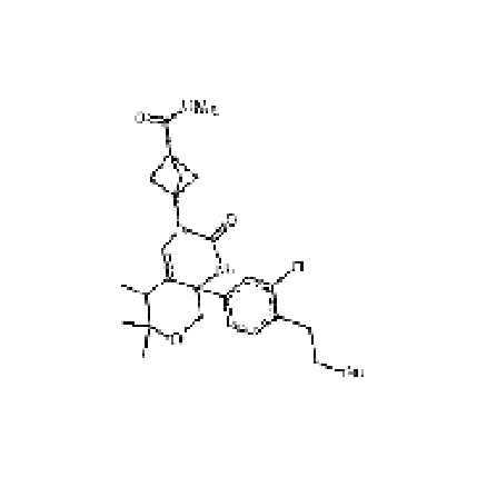 COC(=O)C12CC(N3C=C4C(C)C(C)(C)OCC4(c4ccc(CCC(C)(C)C)c(Cl)c4)NC3=O)(C1)C2